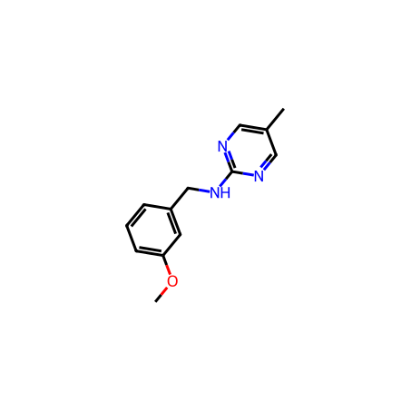 COc1cccc(CNc2ncc(C)cn2)c1